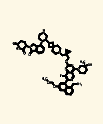 CCc1cccc2cc(OCOC)cc(-c3ncc4c(N5CCC[C@@](C)(O)C5)nc(OCC5(CN6CCC7(CC6)CC(C6CNCCN6c6cccc8c6CN(C6CCC(=O)NC6=O)C8=O)C7)CC5)nc4c3F)c12